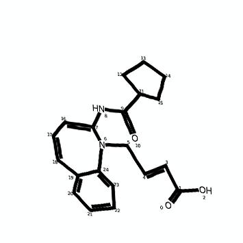 O=C(O)C=CCN1C(NC(=O)C2CCCC2)=CC=Cc2ccccc21